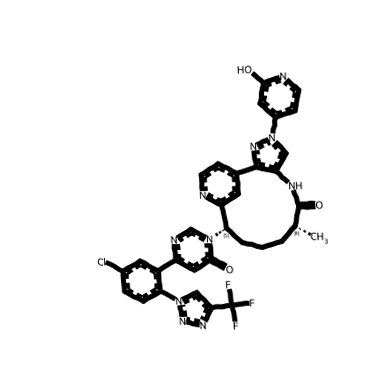 C[C@@H]1CCC[C@H](n2cnc(-c3cc(Cl)ccc3-n3cc(C(F)(F)F)nn3)cc2=O)c2cc(ccn2)-c2nn(-c3ccnc(O)c3)cc2NC1=O